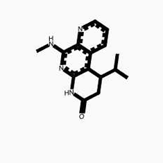 CNc1nc2c(c3cccnc13)C(C(C)C)CC(=O)N2